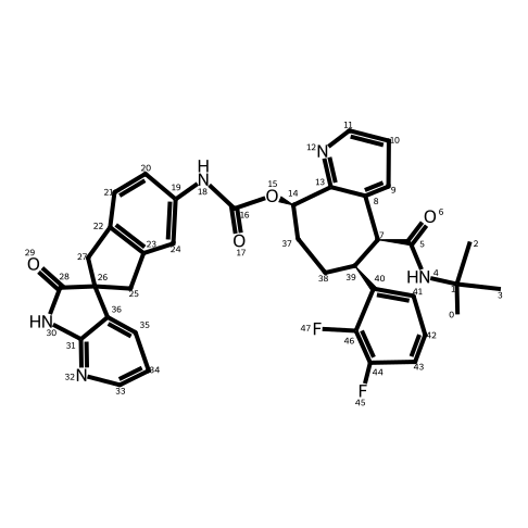 CC(C)(C)NC(=O)[C@@H]1c2cccnc2[C@H](OC(=O)Nc2ccc3c(c2)CC2(C3)C(=O)Nc3ncccc32)CC[C@@H]1c1cccc(F)c1F